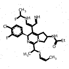 C/C=C\SC(C)C1=N[C@@H](c2ccc(Cl)c(F)c2)C(/C(C=N)=C/NC(C)F)=C2CC(NC(=O)CC)CN12